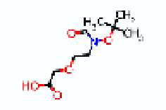 CC(C)(C)ON(C=O)CCOCC(=O)O